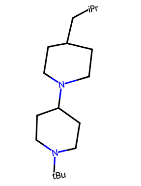 CC(C)CC1CCN(C2CCN(C(C)(C)C)CC2)CC1